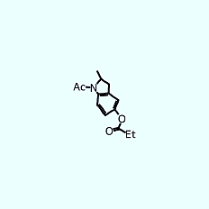 CCC(=O)Oc1ccc2c(c1)CC(C)N2C(C)=O